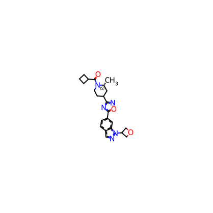 C[C@H]1CC(c2noc(-c3ccc4cnn(C5COC5)c4c3)n2)CCN1C(=O)C1CCC1